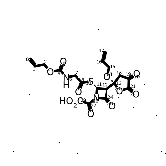 C=CCOC(=O)NCC(=O)S[C@@H]1[C@@H]([C@@]2(OCC=C)CC(=O)C(=O)O2)C(=O)N1C(=O)C(=O)O